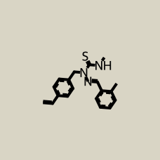 C=Cc1ccc(CN(N=Cc2ccccc2C)C(=S)NC)cc1